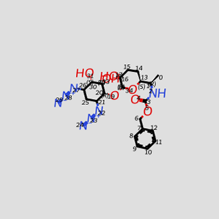 C[C@@H](NC(=O)OCc1ccccc1)[C@@H]1CC[C@H](O)[C@@H](O[C@@H]2C(N=[N+]=[N-])CC(N=[N+]=[N-])[C@H](O)[C@H]2O)O1